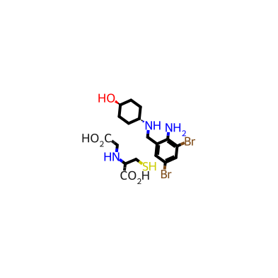 Nc1c(Br)cc(Br)cc1CN[C@H]1CC[C@H](O)CC1.O=C(O)CNC(CS)C(=O)O